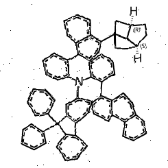 c1ccc(C2(c3ccccc3)c3ccccc3-c3ccc(N(c4ccccc4-c4ccc(C56C[C@H]7CC[C@@H](C5)C76)c5ccccc45)c4ccccc4-c4cccc5c4ccc4ccccc45)cc32)cc1